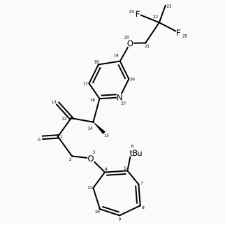 C=C(COC1=C(C(C)(C)C)C=CC=CC1)C(=C)[C@H](C)c1ccc(OCC(C)(F)F)cn1